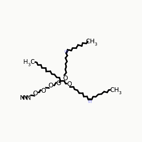 CCCCCCCC/C=C\CCCCCCCCOCC(OCCCCCCCC/C=C\CCCCCCCC)C(CCCCCCCCCCCC)OCCOCCOCCOCCN=[N+]=[N-]